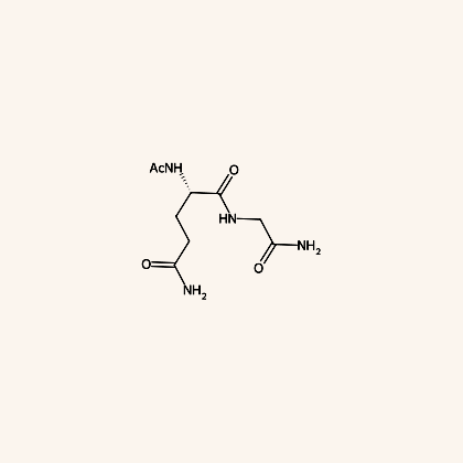 CC(=O)N[C@@H](CCC(N)=O)C(=O)NCC(N)=O